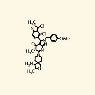 COc1ccc(Cn2nc3nc(N4CCC5(CC4)CO[C@@H](C)[C@H]5N)n(C)c(=O)c3c2-c2ccc3nn(C)c(Cl)c3c2Cl)cc1